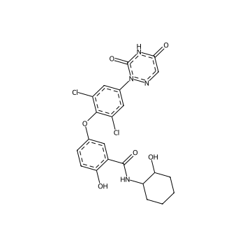 O=C(NC1CCCCC1O)c1cc(Oc2c(Cl)cc(-n3ncc(=O)[nH]c3=O)cc2Cl)ccc1O